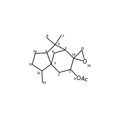 CC(=O)OC1CC23CC(C(C)(C)C2CCC3C)C12CO2